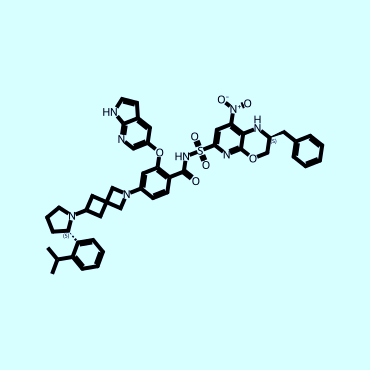 CC(C)c1ccccc1[C@@H]1CCCN1C1CC2(C1)CN(c1ccc(C(=O)NS(=O)(=O)c3cc([N+](=O)[O-])c4c(n3)OC[C@H](Cc3ccccc3)N4)c(Oc3cnc4[nH]ccc4c3)c1)C2